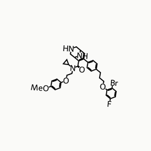 COc1ccc(OCCN(C(=O)C2=C(c3ccc(CCCOc4cc(F)ccc4Br)cc3)CC3CNCC2N3)C2CC2)cc1